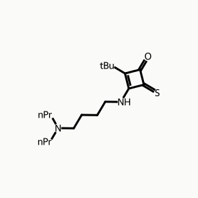 CCCN(CCC)CCCCNc1c(C(C)(C)C)c(=O)c1=S